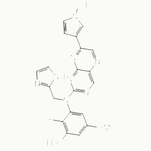 COc1cc(C)c(F)c(N(Cc2ncc[nH]2)c2ncc3ncc(-c4ccn(C)c4)nc3n2)c1